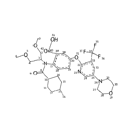 COCC(COC)N(C(=O)C1CCC(C)CC1)c1ccc(Oc2ncc(N3CCOCC3)cc2C(F)(F)F)cc1C(=O)O